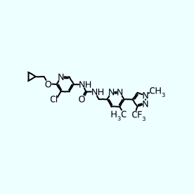 Cc1cc(CNC(=O)Nc2cnc(OCC3CC3)c(Cl)c2)nnc1-c1cn(C)nc1C(F)(F)F